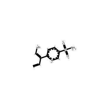 C=C/C(=C/CCC)c1ccc(S(N)(=O)=O)cn1